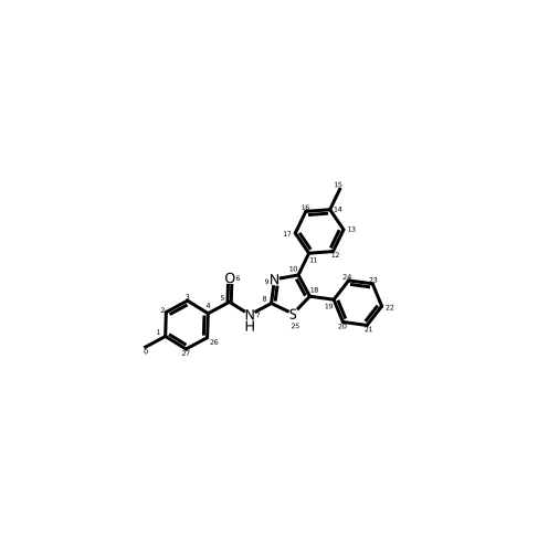 Cc1ccc(C(=O)Nc2nc(-c3ccc(C)cc3)c(-c3ccccc3)s2)cc1